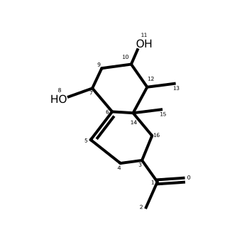 C=C(C)C1CC=C2C(O)CC(O)C(C)C2(C)C1